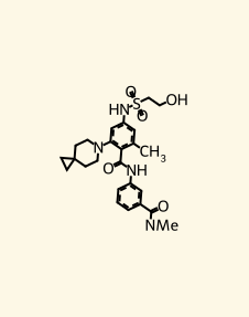 CNC(=O)c1cccc(NC(=O)c2c(C)cc(NS(=O)(=O)CCO)cc2N2CCC3(CC2)CC3)c1